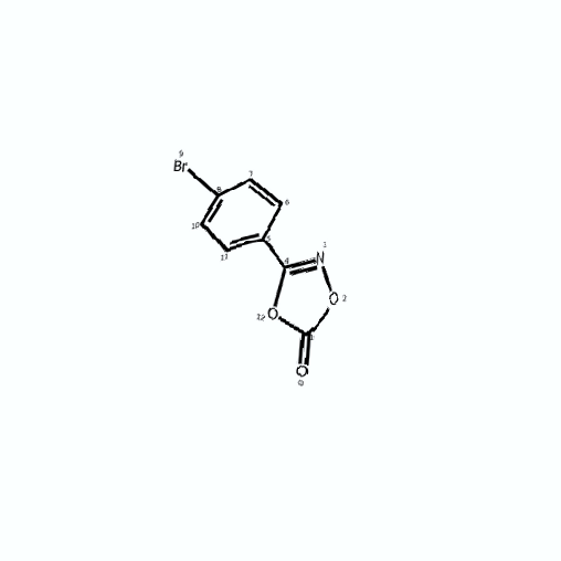 O=c1onc(-c2ccc(Br)cc2)o1